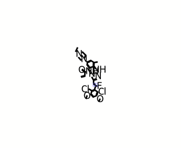 C=CC(=O)Nc1cc(N2CCN(CC)CC2)cc(C)c1Nc1ncc(/C=C(\F)c2c(Cl)c(OC)cc(OC)c2Cl)cn1